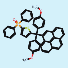 COc1ccc(C(c2ccc(OC)cc2)(c2ccc(P(=O)(c3ccccc3)c3ccccc3)s2)c2cc3cccc4ccc5cccc2c5c43)cc1